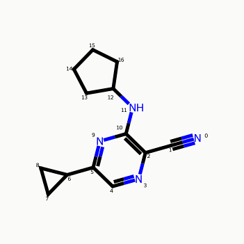 N#Cc1ncc(C2CC2)nc1NC1CCCC1